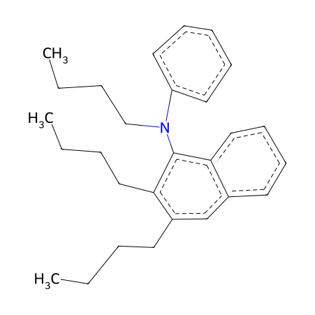 CCCCc1cc2ccccc2c(N(CCCC)c2ccccc2)c1CCCC